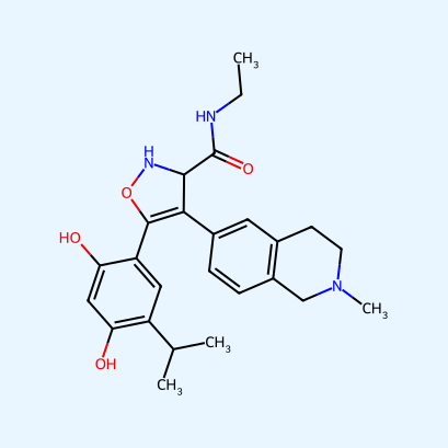 CCNC(=O)C1NOC(c2cc(C(C)C)c(O)cc2O)=C1c1ccc2c(c1)CCN(C)C2